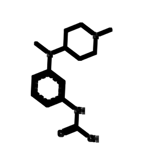 CN1CCC(N(C)c2cccc(NC(=O)O)c2)CC1